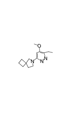 CCc1nnc(N2CCC3(CCC3)C2)cc1OC